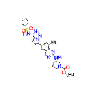 CCc1cc(-c2ccc3c(NS(=O)(=O)C4CCCC4)ncnn23)cc2cnc(N[C@H]3CCCN(C(=O)OC(C)(C)C)C3)nc12